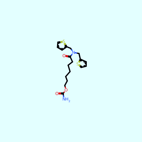 NC(=O)OCCCCCCC(=O)N(Cc1cccs1)Cc1cccs1